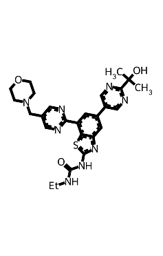 CCNC(=O)Nc1nc2cc(-c3cnc(C(C)(C)O)nc3)cc(-c3ncc(CN4CCOCC4)cn3)c2s1